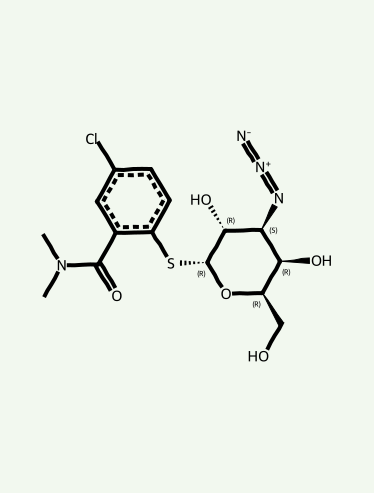 CN(C)C(=O)c1cc(Cl)ccc1S[C@H]1O[C@H](CO)[C@H](O)[C@H](N=[N+]=[N-])[C@H]1O